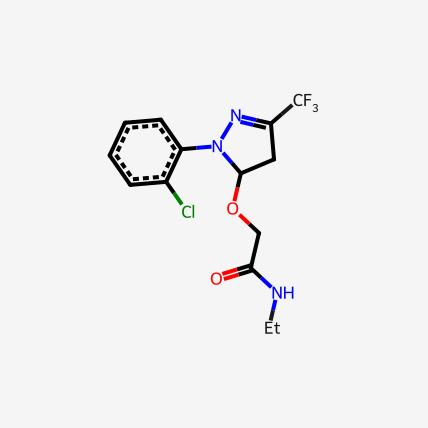 CCNC(=O)COC1CC(C(F)(F)F)=NN1c1ccccc1Cl